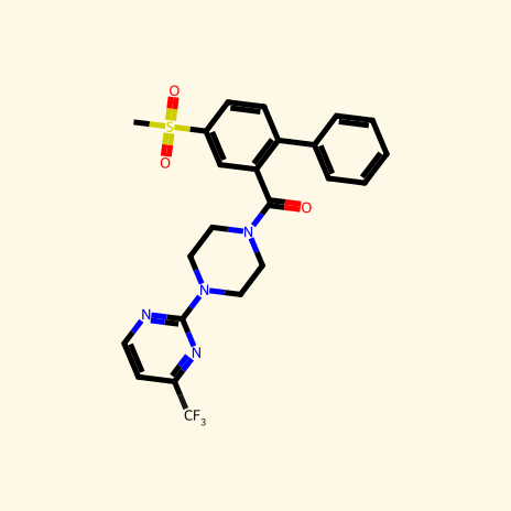 CS(=O)(=O)c1ccc(-c2ccccc2)c(C(=O)N2CCN(c3nccc(C(F)(F)F)n3)CC2)c1